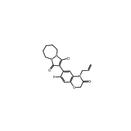 C=CCN1C(=O)COc2cc(F)c(-c3c(Cl)n4n(c3=O)CCCCC4)cc21